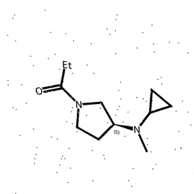 CCC(=O)N1CC[C@H](N(C)C2CC2)C1